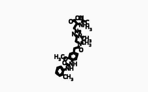 COc1cc(CC(=O)N(C)CC2=NN(CC(NC(C)=O)C(=O)O)CN2C)ccc1NC(=O)Nc1ccccc1C